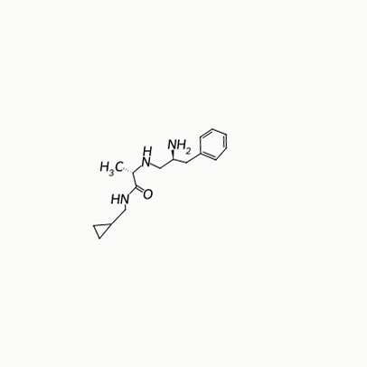 C[C@H](NC[C@@H](N)Cc1ccccc1)C(=O)NCC1CC1